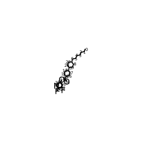 CCCCCCC[C@H]1CC[C@H](C2CCC(C(=O)Oc3cnc(F)c(F)c3)CC2)CC1